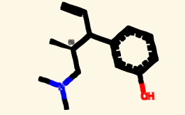 C=CC(c1cccc(O)c1)[C@H](C)CN(C)C